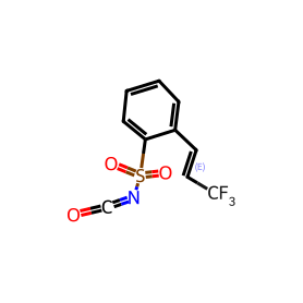 O=C=NS(=O)(=O)c1ccccc1/C=C/C(F)(F)F